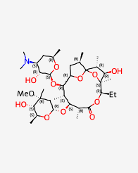 CC[C@H]1OC(=O)[C@H](C)[C@@H](O[C@H]2C[C@@](C)(OC)[C@@H](O)[C@H](C)O2)[C@H](C)[C@@H](O[C@@H]2O[C@H](C)C[C@H](N(C)C)[C@H]2O)[C@@]2(C)C[C@@H](C)C3(O[C@@]1(C)[C@H](O)[C@H]3C)O2